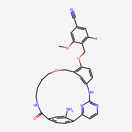 COc1cc(C#N)cc(F)c1COc1ccc2cc1COCCCCNC(=O)c1ccc(c(N)c1)-c1ccnc(n1)N2